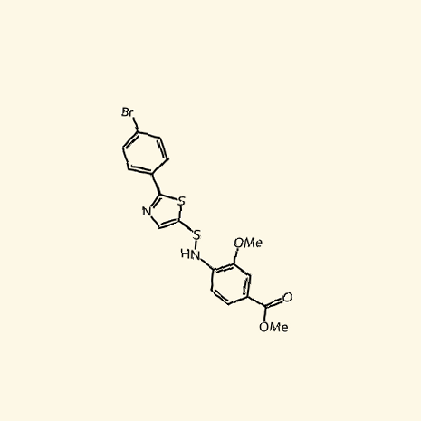 COC(=O)c1ccc(NSc2cnc(-c3ccc(Br)cc3)s2)c(OC)c1